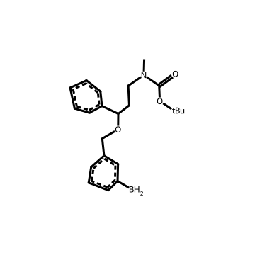 Bc1cccc(COC(CCN(C)C(=O)OC(C)(C)C)c2ccccc2)c1